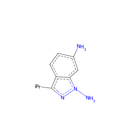 CC(C)c1nn(N)c2cc(N)ccc12